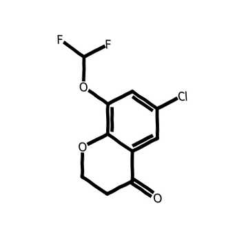 O=C1CCOc2c(OC(F)F)cc(Cl)cc21